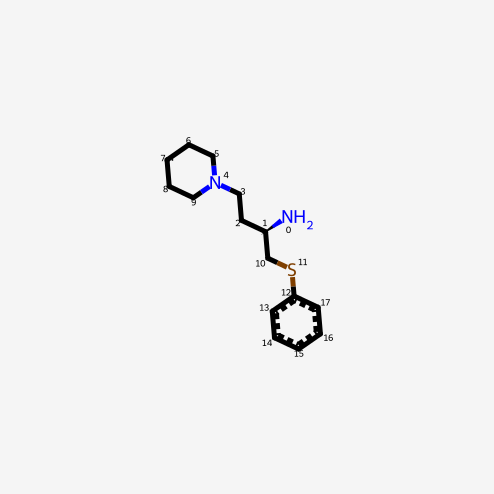 N[C@H](CCN1CC[CH]CC1)CSc1ccccc1